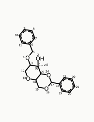 C[C@@]1(O)C(OCc2ccccc2)COC2COC(c3ccccc3)OC21